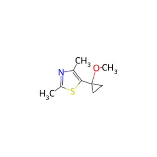 COC1(c2sc(C)nc2C)CC1